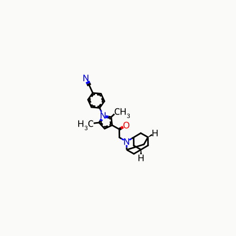 Cc1cc(C(=O)CN2C3C[C@H]4CC2C[C@H](C3)C4)c(C)n1-c1ccc(C#N)cc1